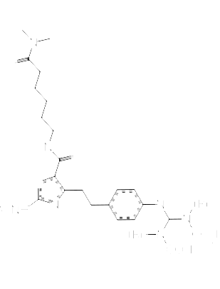 CC(=O)Nc1nc(CCc2ccc(NC(N(C(=O)O)C(C)(C)C)N(C(=O)O)C(C)(C)C)cc2)c(C(=O)NCCCCCC(=O)N(C)C)s1